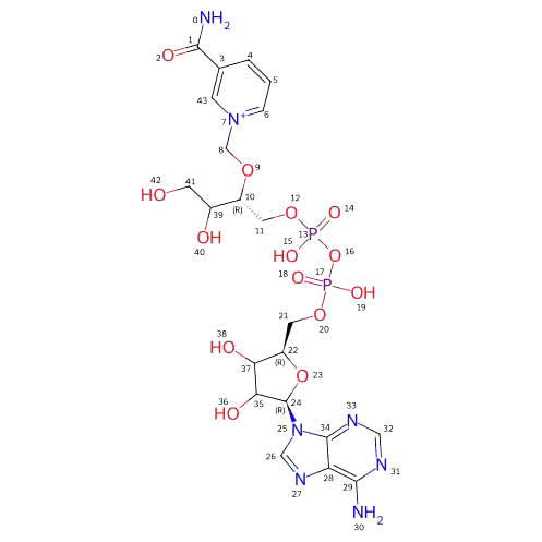 NC(=O)c1ccc[n+](CO[C@H](COP(=O)(O)OP(=O)(O)OC[C@H]2O[C@@H](n3cnc4c(N)ncnc43)C(O)C2O)C(O)CO)c1